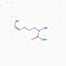 COC(=O)N(CCC/C=C\C(C)(C)C)C(C)(C)C